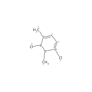 CC1=CC=C(Cl)C(C)C1Cl